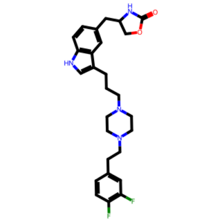 O=C1NC(Cc2ccc3[nH]cc(CCCN4CCN(CCc5ccc(F)c(F)c5)CC4)c3c2)CO1